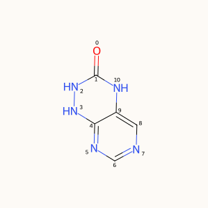 O=C1NNc2ncncc2N1